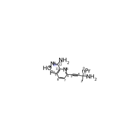 CCCC(C)(N)C#Cc1ccc(F)c(/C(N)=N\O)n1